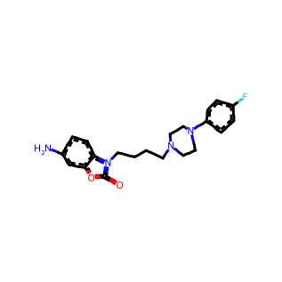 Nc1ccc2c(c1)oc(=O)n2CCCCN1CCN(c2ccc(F)cc2)CC1